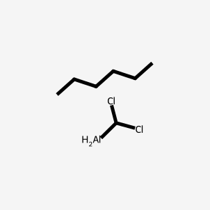 CCCCCC.[AlH2][CH](Cl)Cl